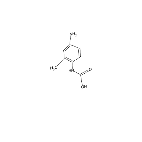 Cc1cc(N)ccc1NC(=O)O